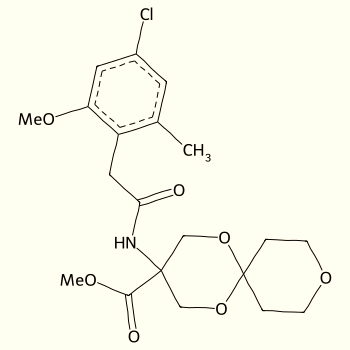 COC(=O)C1(NC(=O)Cc2c(C)cc(Cl)cc2OC)COC2(CCOCC2)OC1